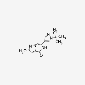 Cc1cc2c(=O)[nH]c(-c3cnn(C(C)(C)C)c3)cn2n1